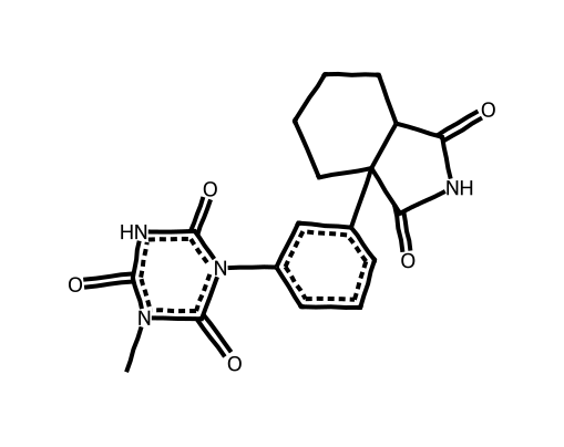 Cn1c(=O)[nH]c(=O)n(-c2cccc(C34CCCCC3C(=O)NC4=O)c2)c1=O